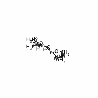 CC(C)CC(=O)N[C@@H](CCCNC(N)=O)C(=O)Nc1ccc(COC(=O)NCCCOc2cc3cc(c2)-c2cnc(N)c(n2)C(=O)Nc2cnccc2N(C)CCCO3)cc1